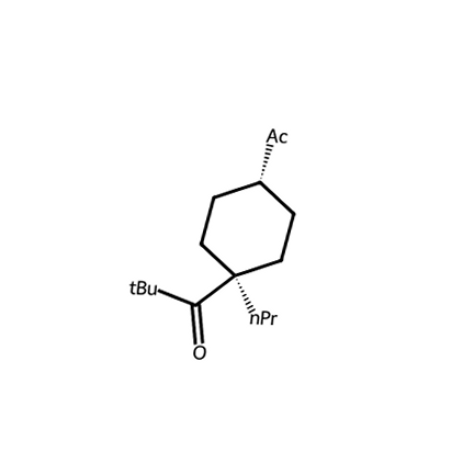 CCC[C@]1(C(=O)C(C)(C)C)CC[C@H](C(C)=O)CC1